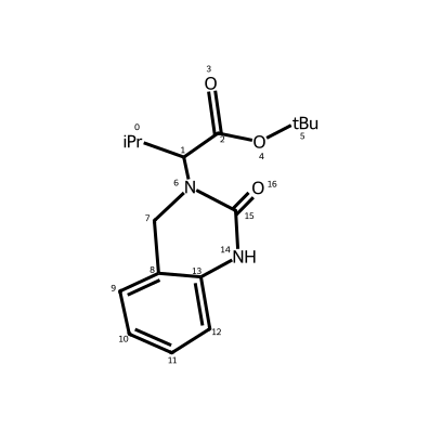 CC(C)C(C(=O)OC(C)(C)C)N1Cc2ccccc2NC1=O